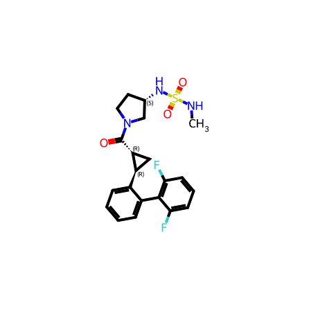 CNS(=O)(=O)N[C@H]1CCN(C(=O)[C@@H]2C[C@H]2c2ccccc2-c2c(F)cccc2F)C1